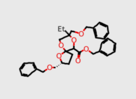 CCC1(COCc2ccccc2)COC2(CC[C@H](COCc3ccccc3)O2)C(C(=O)OCc2ccccc2)O1